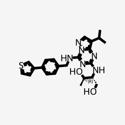 CC(C)c1cnn2c(NCc3ccc(-c4ccsc4)cc3)nc(N[C@H](CO)[C@@H](C)O)nc12